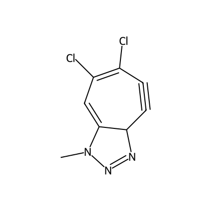 CN1N=NC2C#CC(Cl)=C(Cl)C=C21